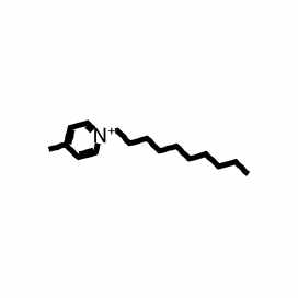 CCCCCCCCCC[n+]1ccc(C)cc1